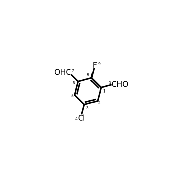 O=Cc1cc(Cl)cc(C=O)c1F